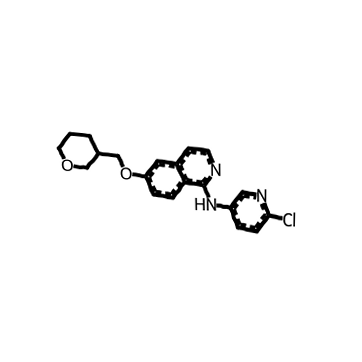 Clc1ccc(Nc2nccc3cc(OCC4CCCOC4)ccc23)cn1